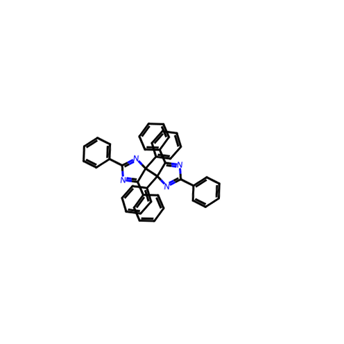 c1ccc(C2=NC(c3ccccc3)(C3(c4ccccc4)N=C(c4ccccc4)N=C3c3ccccc3)C(c3ccccc3)=N2)cc1